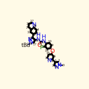 Cn1cc(-c2cc(Oc3ccc(NC(=O)Nc4cn(C(C)(C)C)nc4-c4ccc5ncccc5c4)c(F)c3)ccn2)cn1